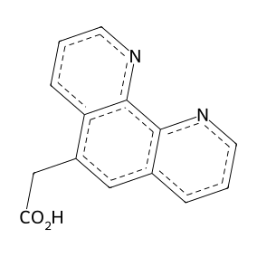 O=C(O)Cc1cc2cccnc2c2ncccc12